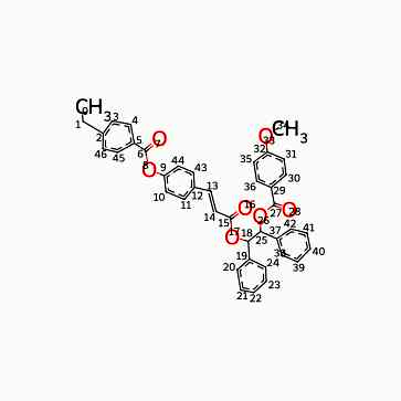 CCc1ccc(C(=O)Oc2ccc(/C=C/C(=O)OC(c3ccccc3)C(OC(=O)c3ccc(OC)cc3)c3ccccc3)cc2)cc1